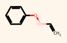 C=CBOc1ccccc1